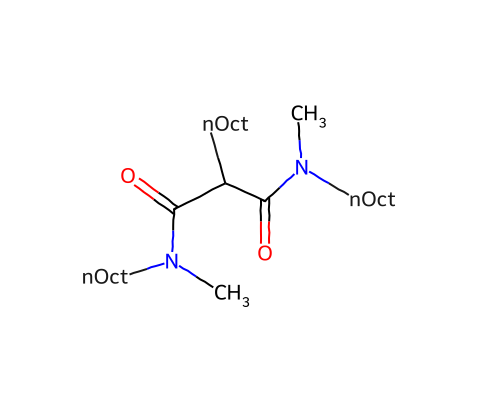 CCCCCCCCC(C(=O)N(C)CCCCCCCC)C(=O)N(C)CCCCCCCC